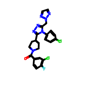 O=C(c1ccc(F)c(Cl)c1)N1CCC(c2nnc(Cn3nccn3)n2-c2ccc(Cl)cc2)CC1